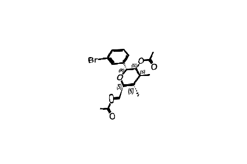 CC(=O)OC[C@H]1O[C@H](c2cccc(Br)c2)[C@@H](OC(C)=O)[C@@H](C)[C@@H]1C